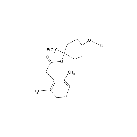 CCOC(=O)C1(OC(=O)Cc2c(C)cccc2C)CCC(OCC)CC1